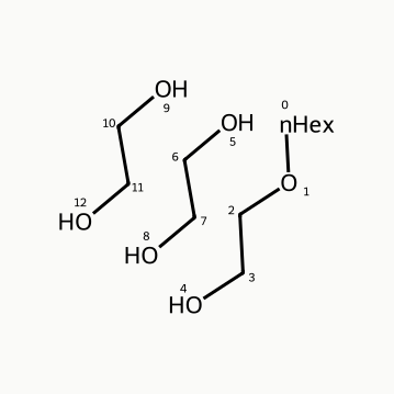 CCCCCCOCCO.OCCO.OCCO